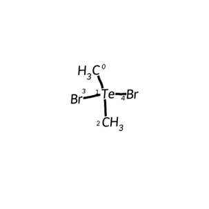 C[Te](C)(Br)Br